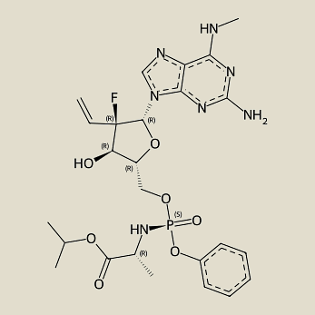 C=C[C@@]1(F)[C@H](O)[C@@H](CO[P@@](=O)(N[C@H](C)C(=O)OC(C)C)Oc2ccccc2)O[C@H]1n1cnc2c(NC)nc(N)nc21